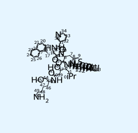 CC(C)C[C@H](NC(=O)C(Cc1cscn1)NC(=O)[C@H](Cc1cccc2ccccc12)NC(=O)c1cccnc1)[C@@H](O)CC(=O)N[C@H](CO)CCCCN.Cl.Cl.Cl.O.O.O